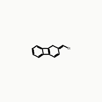 CCC=C1C=CC2=C(C1)c1ccccc12